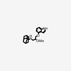 COC(CNC12CC3CC(CC(C3)C1)C2)COc1cccc2[nH]ccc12